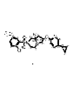 O=S(=O)(c1cc(C(F)(F)F)ccc1Cl)N1CCN2C[C@H](Oc3cnc(C4CC4)cn3)C[C@H]2C1